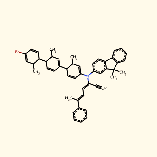 C#C/C(=C\C=C(/C)c1ccccc1)N(C1=CC(C)C(C2=CC(C)C(C3C=CC(Br)=CC3C)C=C2)C=C1)c1ccc2c(c1)C(C)(C)c1ccccc1-2